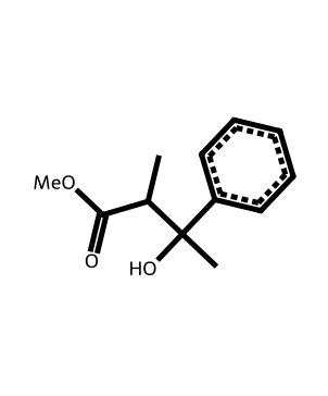 COC(=O)C(C)C(C)(O)c1ccccc1